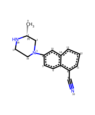 C[C@@H]1CN(c2ccc3c(C#N)cccc3c2)CCN1